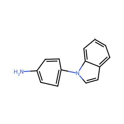 Nc1ccc(-n2ccc3cc[c]cc32)cc1